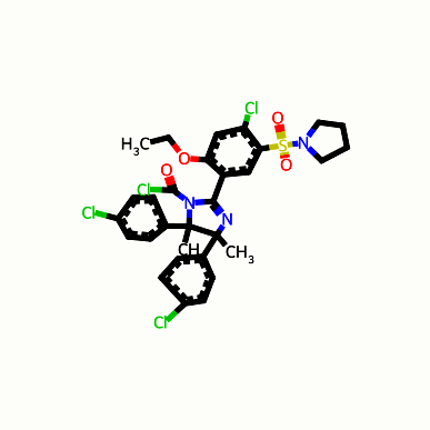 CCOc1cc(Cl)c(S(=O)(=O)N2CCCC2)cc1C1=NC(C)(c2ccc(Cl)cc2)C(C)(c2ccc(Cl)cc2)N1C(=O)Cl